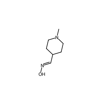 CN1CCC(/C=N/O)CC1